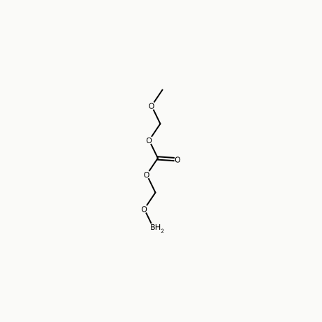 BOCOC(=O)OCOC